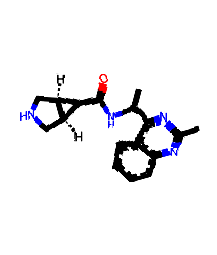 Cc1nc(C(C)NC(=O)C2[C@H]3CNC[C@@H]23)c2ccccc2n1